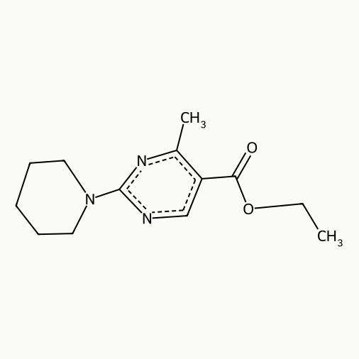 CCOC(=O)c1cnc(N2CCCCC2)nc1C